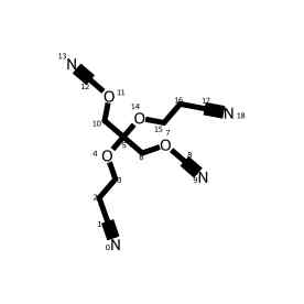 N#CCCOC(COC#N)(COC#N)OCCC#N